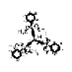 CO[Si](C#CC(C#C[Si](OC)(OC)c1ccccc1)C#C[Si](OC)(OC)c1ccccc1)(OC)c1ccccc1